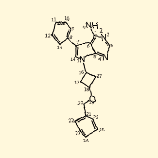 Nc1ncnc2c1c(-c1ccccc1)cn2C1CC(OCc2ccccc2)C1